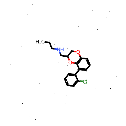 CCCNCC1COc2cccc(-c3ccccc3Cl)c2O1